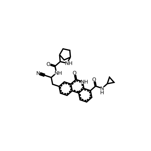 N#CC(Cc1ccc2c(c1)c(=O)[nH]c1c(C(=O)NC3CC3)cccc12)NC(=O)C1NC2CCC1C2